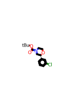 CC(C)(C)OC(=O)N1CCO[C@H](c2cccc(Cl)c2)C1